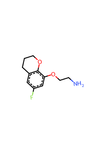 NCCOc1cc(F)cc2c1OCCC2